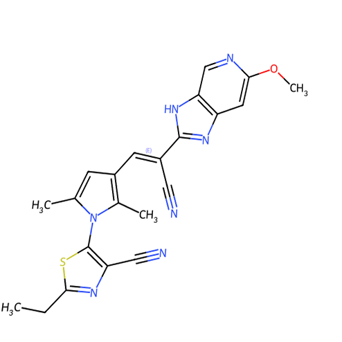 CCc1nc(C#N)c(-n2c(C)cc(/C=C(\C#N)c3nc4cc(OC)ncc4[nH]3)c2C)s1